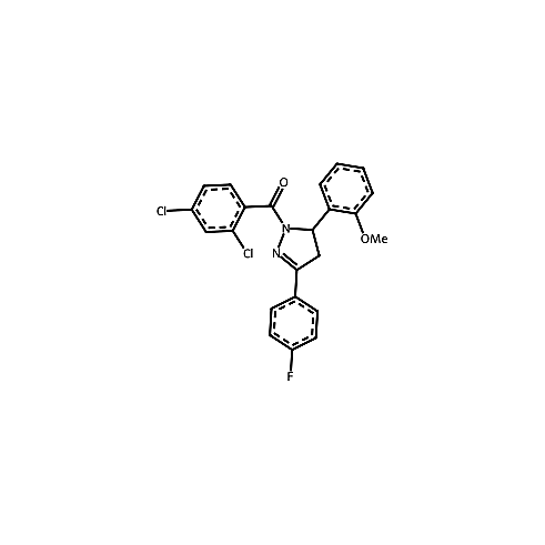 COc1ccccc1C1CC(c2ccc(F)cc2)=NN1C(=O)c1ccc(Cl)cc1Cl